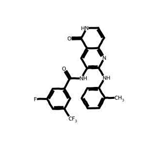 Cc1ccccc1Nc1nc2cc[nH]c(=O)c2cc1NC(=O)c1cc(F)cc(C(F)(F)F)c1